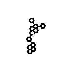 c1ccc(-c2cc(-c3ccccc3)c3ccc4nc(-c5cccc(-c6ccc7ccc8cccc9ccc6c7c89)c5)nc5ccc2c3c54)cc1